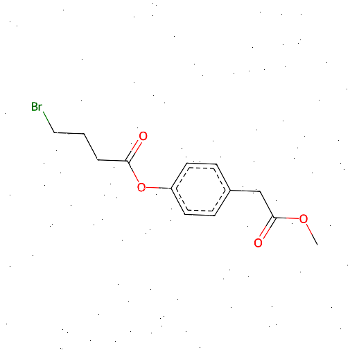 COC(=O)Cc1ccc(OC(=O)CCCBr)cc1